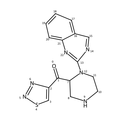 O=C(c1csnn1)C1CNCCN1c1ncc2ccccc2n1